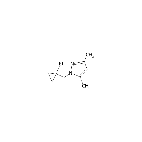 CCC1(Cn2nc(C)cc2C)CC1